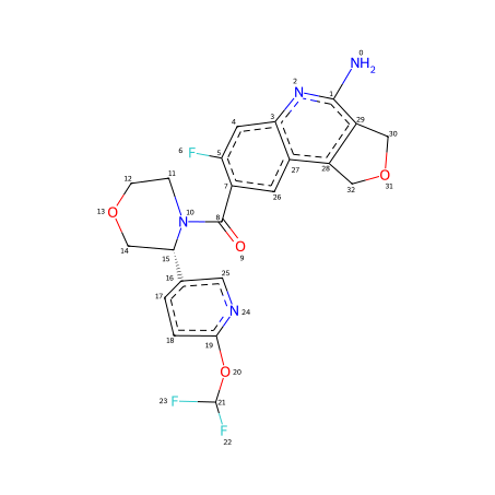 Nc1nc2cc(F)c(C(=O)N3CCOC[C@H]3c3ccc(OC(F)F)nc3)cc2c2c1COC2